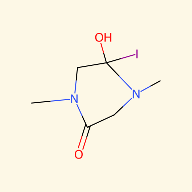 CN1CC(O)(I)N(C)CC1=O